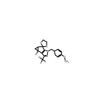 COC1=CCC(Cn2nc(C(F)(F)F)c3c2C2(SCCS2)C2CC32F)C=C1